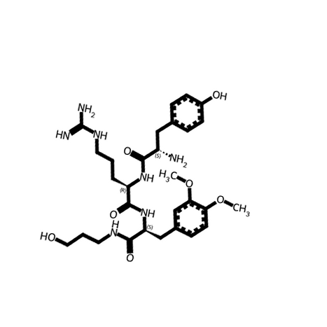 COc1ccc(C[C@H](NC(=O)[C@@H](CCCNC(=N)N)NC(=O)[C@@H](N)Cc2ccc(O)cc2)C(=O)NCCCO)cc1OC